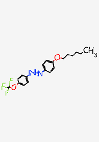 CCCCCCOc1ccc(N=Nc2ccc(OC(F)(F)F)cc2)cc1